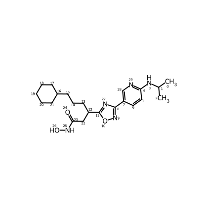 CC(C)Nc1ccc(-c2noc(C(CCCC3CCCCC3)CC(=O)NO)n2)cn1